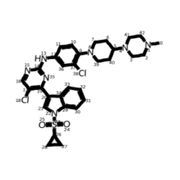 CN1CCN(C2CCN(c3ccc(Nc4ncc(Cl)c(-c5cn(S(=O)(=O)C6CC6)c6ccccc56)n4)cc3Cl)CC2)CC1